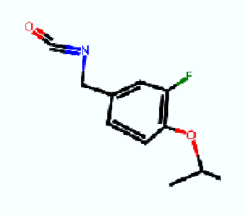 CC(C)Oc1ccc(CN=C=O)cc1F